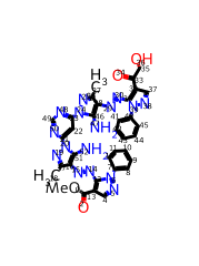 COC(=O)c1cnn(-c2ccccc2)c1/N=N/c1c(C)nn(-c2cc(-n3nc(C)c(/N=N/c4c(C(=O)CO)cnn4-c4ccccc4)c3N)ncn2)c1N